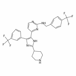 FC(F)(F)c1ccc(CNc2nccc(-c3[nH]c(C4CCNCC4)nc3-c3cccc(C(F)(F)F)c3)n2)cc1